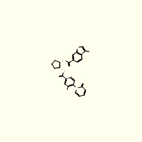 Cc1cc(C(=O)N[C@H]2CCC[C@H]2NC(=O)c2ccc3c(Cl)c[nH]c3c2)ccc1-n1ccccc1=O